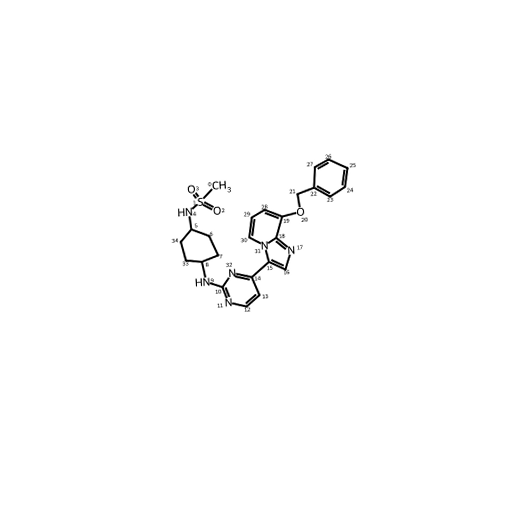 CS(=O)(=O)NC1CCC(Nc2nccc(-c3cnc4c(OCc5ccccc5)cccn34)n2)CC1